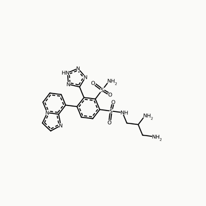 NCC(N)CNS(=O)(=O)c1ccc(-c2cccn3ccnc23)c(-c2nn[nH]n2)c1S(N)(=O)=O